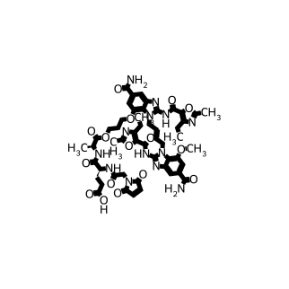 CCc1nc(C)oc1C(=O)Nc1nc2cc(C(N)=O)cc(OC)c2n1C/C=C/Cn1c(NC(=O)c2oc(C)nc2CC)nc2cc(C(N)=O)cc(OCCCOC(=O)[C@H](C)NC(=O)[C@@H](CCC(=O)O)NC(=O)CN3C(=O)C=CC3=O)c21